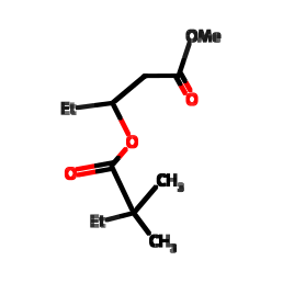 CCC(CC(=O)OC)OC(=O)C(C)(C)CC